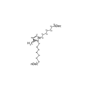 CCCCCCCCCCCCCCCCCc1n(CCCCCCCCCCCCCCCC)cc[n+]1C